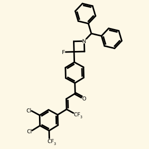 O=C(/C=C(/c1cc(Cl)c(Cl)c(C(F)(F)F)c1)C(F)(F)F)c1ccc(C2(F)CN(C(c3ccccc3)c3ccccc3)C2)cc1